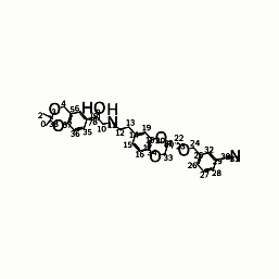 CC1(C)OCc2cc([C@H](O)CNCCc3ccc4c(c3)O[C@H](COCc3cccc(C#N)c3)CO4)ccc2O1